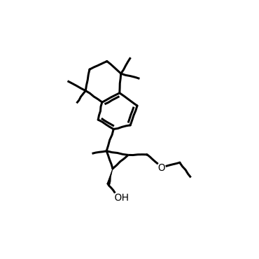 CCOCC1[C@@H](CO)C1(C)c1ccc2c(c1)C(C)(C)CCC2(C)C